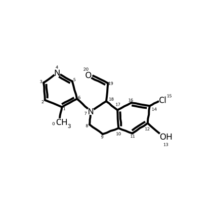 Cc1ccncc1N1CCc2cc(O)c(Cl)cc2C1C=O